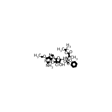 CCOc1nc(N)nc2c1ncn2[C@@H]1O[C@H](CO[P@](=O)(N[C@@H](C)C(=O)OC(C)C)Oc2ccccc2)[C@@H](O)C1(Cl)Cl